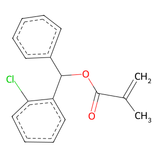 C=C(C)C(=O)OC(c1ccccc1)c1ccccc1Cl